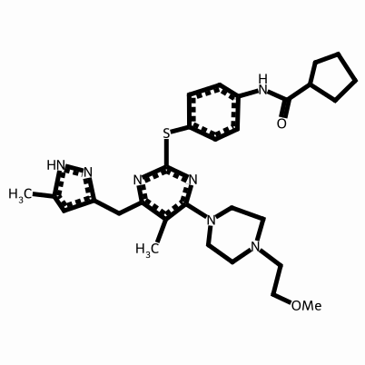 COCCN1CCN(c2nc(Sc3ccc(NC(=O)C4CCCC4)cc3)nc(Cc3cc(C)[nH]n3)c2C)CC1